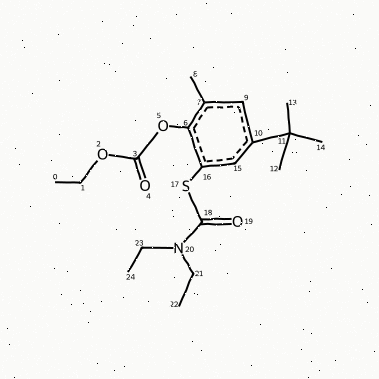 CCOC(=O)Oc1c(C)cc(C(C)(C)C)cc1SC(=O)N(CC)CC